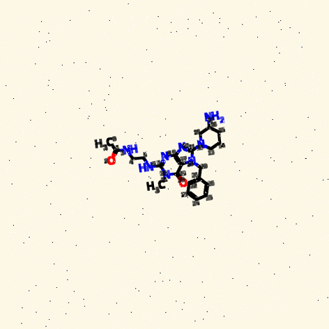 CC(=O)NCCNc1nc2nc(N3CCCC(N)C3)n(Cc3ccccc3)c2c(=O)n1C